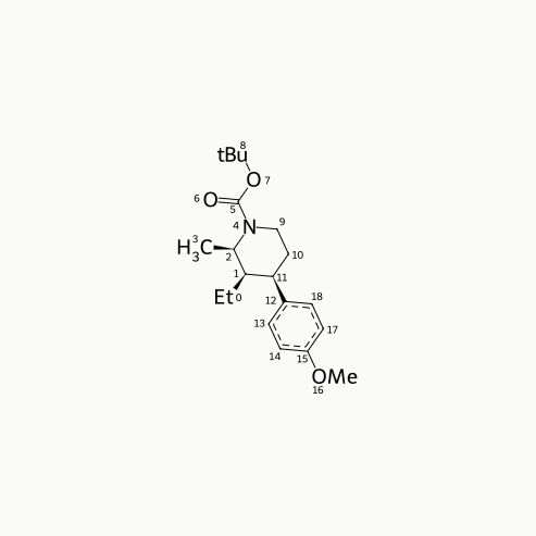 CC[C@H]1[C@@H](C)N(C(=O)OC(C)(C)C)CC[C@H]1c1ccc(OC)cc1